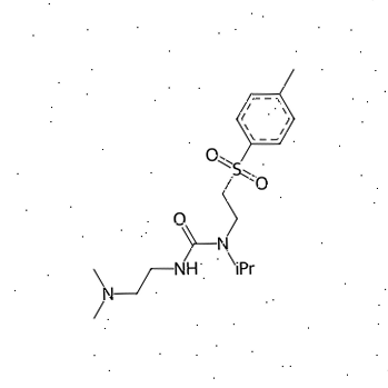 Cc1ccc(S(=O)(=O)CCN(C(=O)NCCN(C)C)C(C)C)cc1